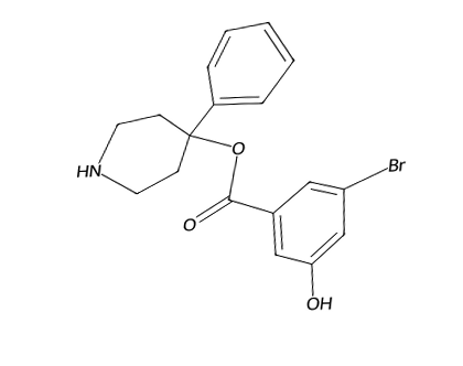 O=C(OC1(c2ccccc2)CCNCC1)c1cc(O)cc(Br)c1